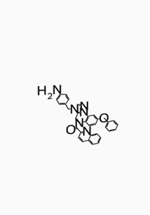 Nc1ccc(Cn2cnnc2CN(C(=O)c2ccc3ccccc3n2)c2ccc(Oc3ccccc3)cc2)cc1